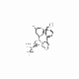 CC(C)(C)[S+]([O-])NC[C@H](c1cc(F)cc(F)c1)c1nocc1-c1ccc(Cl)cc1